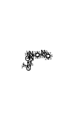 O=C(C1CC1)N1CC(CN2C(=O)C3(CC3)N=C2c2ccc(-c3cc4ccccc4cn3)cc2)C1